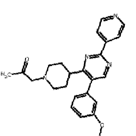 COc1cccc(-c2cnc(-c3ccncc3)nc2C2CCN(CC(C)=O)CC2)c1